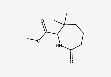 COC(=O)C1NC(=O)CCCC1(C)C